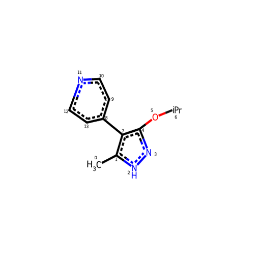 Cc1[nH]nc(OC(C)C)c1-c1ccncc1